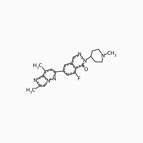 Cc1cn2nc(-c3cc(F)c4c(=O)n(C5CCN(C)CC5)ncc4c3)cc(C)c2n1